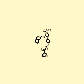 O=C(OCCc1ccc(C2CCN(C(=O)O)CC2OCc2ccc3ccccc3c2)cc1)c1cccnc1